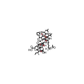 CC(=O)O.CC[C@H](C)[C@H](N)C(=O)N[C@@H](CCC(=O)O)C(=O)N1CCC[C@H]1C(=O)N[C@H](C(=O)N1CCC[C@H]1C(=O)N[C@@H](CC(C)C)C(=O)N[C@H](C(=O)N[C@@H](CCCCN)C(=O)N[C@@H](CCC(N)=O)C(=O)N[C@@H](CC(=O)O)C(=O)O)C(C)C)C(C)C